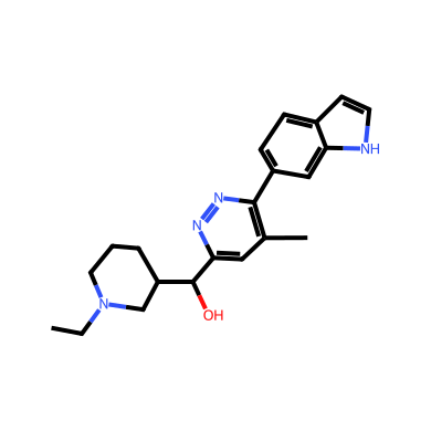 CCN1CCCC(C(O)c2cc(C)c(-c3ccc4cc[nH]c4c3)nn2)C1